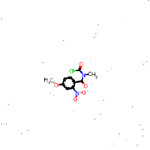 COc1ccc(C(=O)N(C)C(=O)Cl)c([N+](=O)[O-])c1